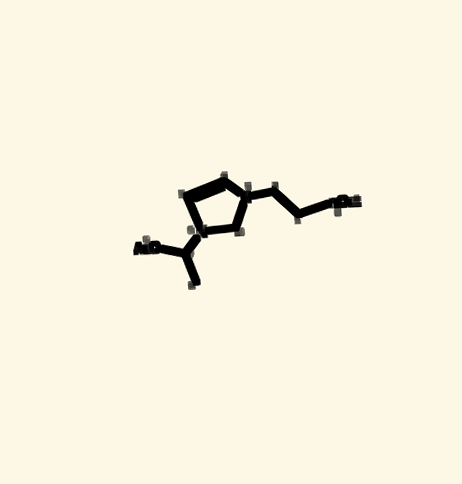 CCCCCCCCCCN1C=CN(C(C)OC(C)=O)C1